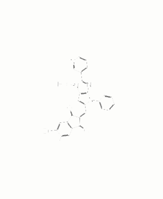 CCc1cc2c(cc1CC)C(=O)C(=Cc1cc3c(nc(-c4cccnc4)n3C)n1-c1ccccc1)C2=O